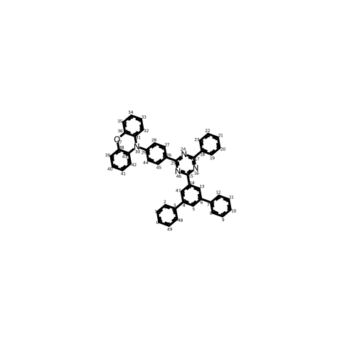 c1ccc(-c2cc(-c3ccccc3)cc(-c3nc(-c4ccccc4)nc(-c4ccc(N5c6ccccc6Oc6ccccc65)cc4)n3)c2)cc1